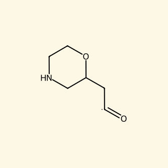 O=[C]CC1CNCCO1